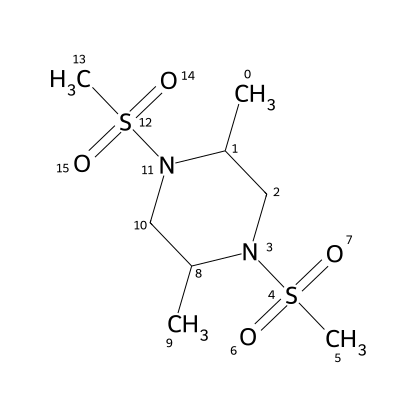 CC1CN(S(C)(=O)=O)C(C)CN1S(C)(=O)=O